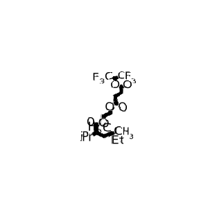 CCC(C)(C)CC(C(=O)OCCOC(=O)CCC(=O)OC(C(F)(F)F)C(F)(F)F)C(C)C